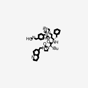 CC[C@H](C)[C@@H](C(=O)N[C@@H](Cc1ccccc1)[C@H](O)CN(CC(C)C)S(=O)(=O)c1ccc(/C=N/O)cc1)N1CCN(Cc2ccc3ncccc3c2)C1=O